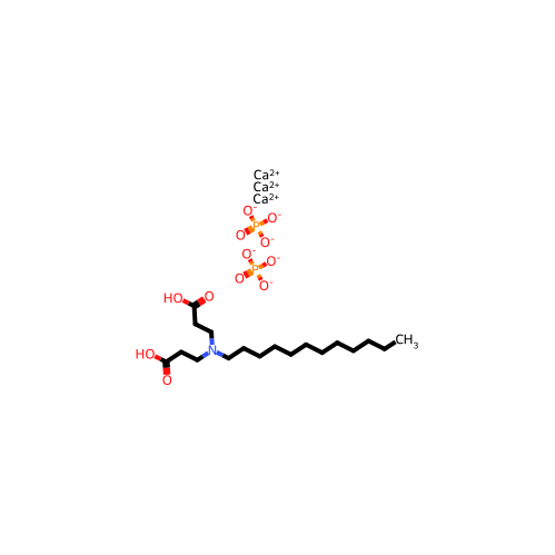 CCCCCCCCCCCCN(CCC(=O)O)CCC(=O)O.O=P([O-])([O-])[O-].O=P([O-])([O-])[O-].[Ca+2].[Ca+2].[Ca+2]